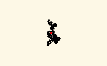 C=Cc1ccc(Oc2ccc(C3(c4ccccc4)c4ccccc4-c4ccc(N(c5ccc(-c6ccc7c(c6)c6ccccc6n7-c6ccc(C=C)cc6)cc5)c5cccc6oc7ccccc7c56)cc43)cc2)cc1